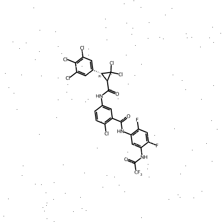 O=C(Nc1cc(NC(=O)C(F)(F)F)c(F)cc1F)c1cc(NC(=O)C2[C@H](c3cc(Cl)c(Cl)c(Cl)c3)C2(Cl)Cl)ccc1Cl